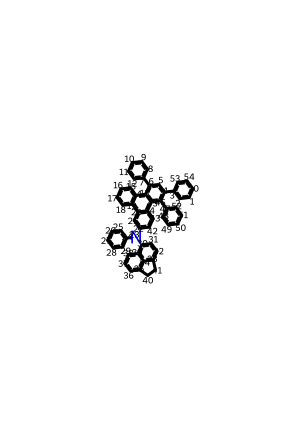 c1ccc(-c2cc(-c3ccccc3)c3c4ccccc4c4cc(N(c5ccccc5)c5ccc6c7c(cccc57)CC6)ccc4c3c2-c2ccccc2)cc1